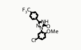 COc1ccc(Cl)cc1-n1nc(-c2ccc(C(F)(F)F)cc2)[nH]c1=O